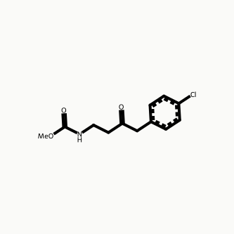 COC(=O)NCCC(=O)Cc1ccc(Cl)cc1